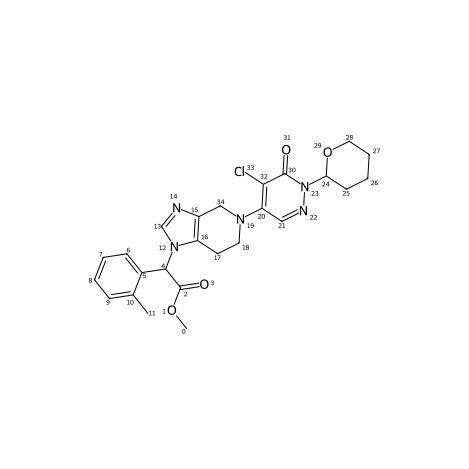 COC(=O)C(c1ccccc1C)n1cnc2c1CCN(c1cnn(C3CCCCO3)c(=O)c1Cl)C2